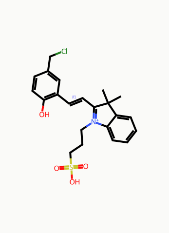 CC1(C)C(/C=C/c2cc(CCl)ccc2O)=[N+](CCCS(=O)(=O)O)c2ccccc21